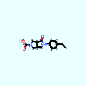 CCc1ccc(N2C=C3CN(C(=O)O)CC3C2=O)cc1